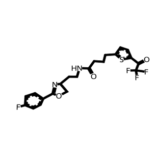 O=C(CCCc1ccc(C(=O)C(F)(F)F)s1)NCCC1COC(c2ccc(F)cc2)=N1